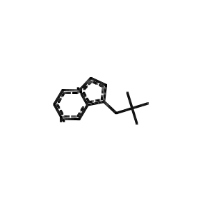 CC(C)(C)Cc1ccn2ccncc12